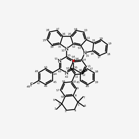 CC1(C)CCC(C)(C)c2cc(-c3ccc(-n4c5ccccc5c5ccc6c7ccccc7n(-c7nc(-c8ccccc8)nc(-c8ccc(F)cc8)n7)c6c54)cc3)ccc21